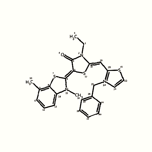 CCn1c(=O)/c(=C2\Sc3c(C)cccc3N2C)s/c1=C\c1scc[n+]1Cc1ccccc1